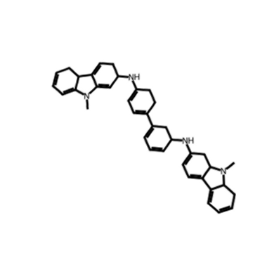 CN1C2=CC(NC3=CC=C(C4=CC=CC(NC5=CC=C6C7=CC=CCC7N(C)C6C5)C4)CC3)CC=C2C2CC=CC=C21